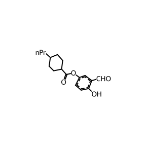 CCCC1CCC(C(=O)Oc2ccc(O)c(C=O)c2)CC1